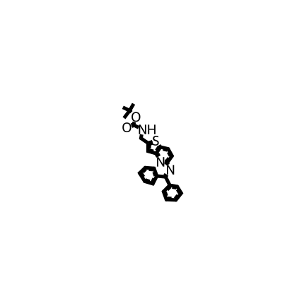 CC(C)(C)OC(=O)NCc1cc2nc(N=C(c3ccccc3)c3ccccc3)ccc2s1